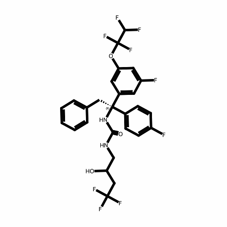 O=C(NCC(O)CC(F)(F)F)N[C@](Cc1ccccc1)(c1ccc(F)cc1)c1cc(F)cc(OC(F)(F)C(F)F)c1